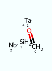 C=O.[Nb].[SiH4].[Ta]